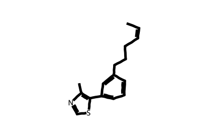 C/C=C\CCCc1cccc(-c2scnc2C)c1